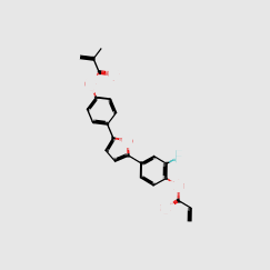 C=CC(=O)Oc1ccc(-c2ccc(-c3ccc(OC(=O)C(=C)C)cc3)o2)cc1F